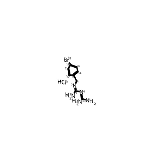 Cl.NC(N)=NC(N)=NCc1ccc(Br)cc1